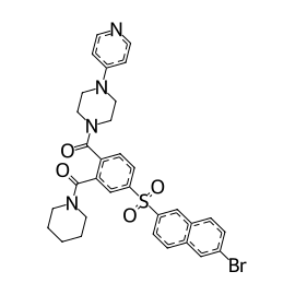 O=C(c1cc(S(=O)(=O)c2ccc3cc(Br)ccc3c2)ccc1C(=O)N1CCN(c2ccncc2)CC1)N1CCCCC1